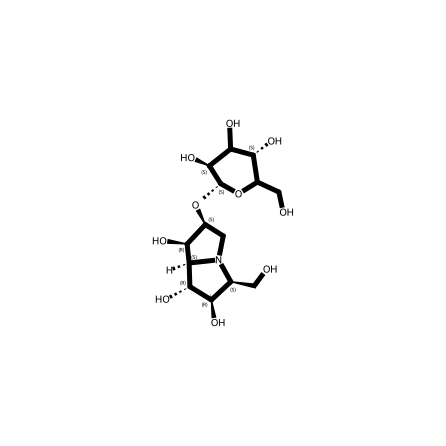 OCC1O[C@H](O[C@H]2CN3[C@H]([C@H]2O)[C@@H](O)[C@H](O)[C@@H]3CO)[C@@H](O)C(O)[C@@H]1O